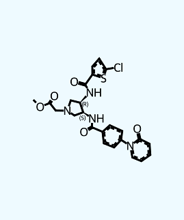 COC(=O)CN1C[C@H](NC(=O)c2ccc(-n3ccccc3=O)cc2)[C@H](NC(=O)c2ccc(Cl)s2)C1